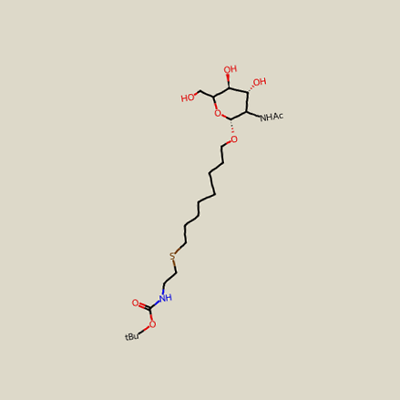 CC(=O)NC1[C@H](OCCCCCCCCSCCNC(=O)OC(C)(C)C)OC(CO)[C@@H](O)[C@@H]1O